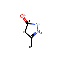 CC1=N[N]C(=O)C1